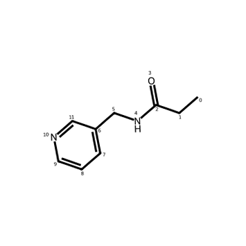 CCC(=O)NCc1cccnc1